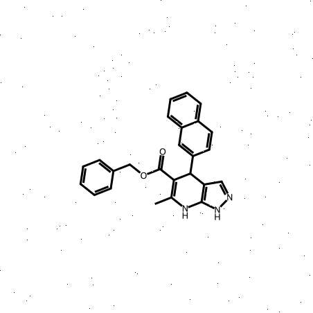 CC1=C(C(=O)OCc2ccccc2)C(c2ccc3ccccc3c2)c2cn[nH]c2N1